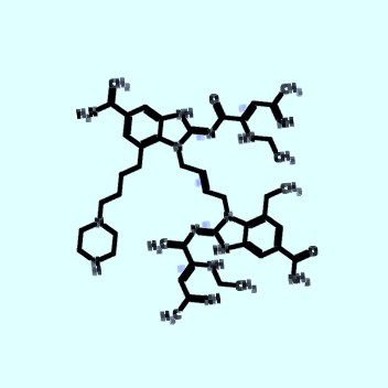 C=C(/N=c1\[nH]c2cc(C(N)=O)cc(CC)c2n1C/C=C/Cn1/c(=N/C(=O)/C(=C/C(C)=N)NCC)[nH]c2cc(C(=C)N)cc(CCCCN3CCNCC3)c21)/C(=C/C(C)=N)NCC